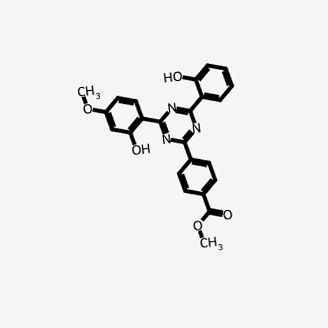 COC(=O)c1ccc(-c2nc(-c3ccccc3O)nc(-c3ccc(OC)cc3O)n2)cc1